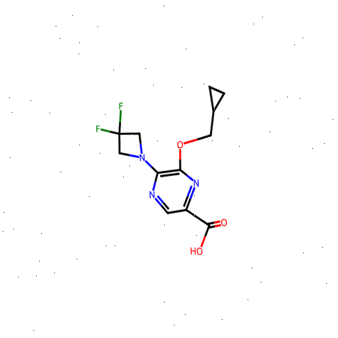 O=C(O)c1cnc(N2CC(F)(F)C2)c(OCC2CC2)n1